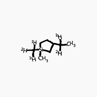 [2H]C([2H])(C)C1CC[Si](C)(C([2H])([2H])[2H])C1